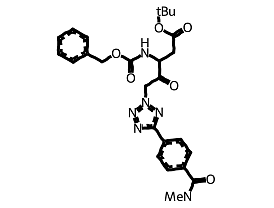 CNC(=O)c1ccc(-c2nnn(CC(=O)C(CC(=O)OC(C)(C)C)NC(=O)OCc3ccccc3)n2)cc1